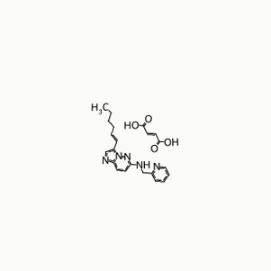 CCCCC=Cc1cnc2ccc(NCc3ccccn3)nn12.O=C(O)C=CC(=O)O